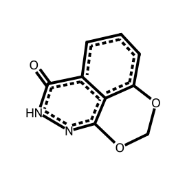 O=c1[nH]nc2c3c(cccc13)OCO2